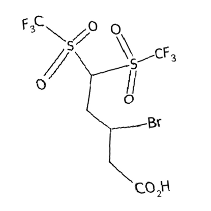 O=C(O)CC(Br)CC(S(=O)(=O)C(F)(F)F)S(=O)(=O)C(F)(F)F